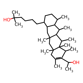 CC1=C(C(C)O)C(C)C2(C)C(C)C3C(C)C4C(C)CCC(CCCCC(C)(C)O)C4CC3(C)CC2(C)C1